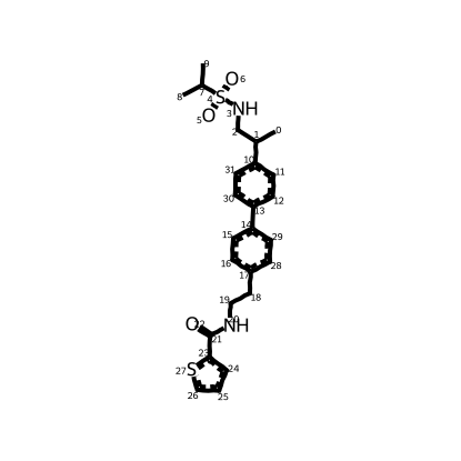 CC(CNS(=O)(=O)C(C)C)c1ccc(-c2ccc(CCNC(=O)c3cccs3)cc2)cc1